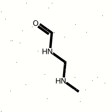 CNCN[C]=O